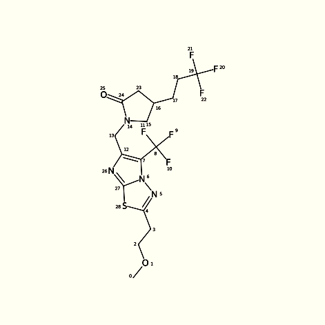 COCCc1nn2c(C(F)(F)F)c(CN3CC(CCC(F)(F)F)CC3=O)nc2s1